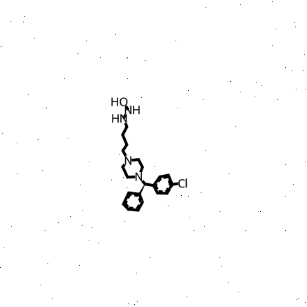 ONNCCCCN1CCN([C@H](c2ccccc2)c2ccc(Cl)cc2)CC1